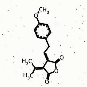 COc1ccc(CC=C2C(=O)OC(=O)C2=C(C)C)cc1